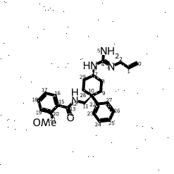 C=CCN=C(N)N[C@H]1CC[C@](CNC(=O)c2ccccc2OC)(c2ccccc2)CC1